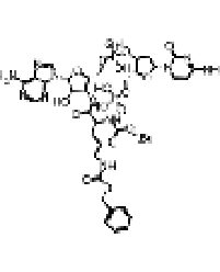 CC(C)(C)OC(=O)N[C@@H](CCCNC(=O)OCc1ccccc1)C(=O)O[C@H]1[C@@H](O)[C@H](n2cnc3c(N)ncnc32)O[C@@H]1CO[PH](O)(O)O[C@H]1C[C@H](n2ccc(N)nc2=O)O[C@@H]1COP(=O)(O)O